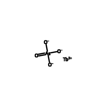 O=[As]([O-])([O-])[O-].[Tb+3]